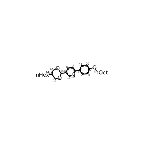 CCCCCCCCOc1ccc(-c2ccc(C3OCC(CCCCCC)CO3)cn2)cc1